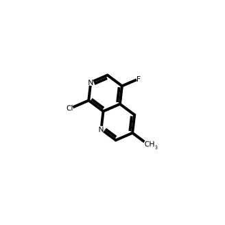 Cc1cnc2c(Cl)ncc(F)c2c1